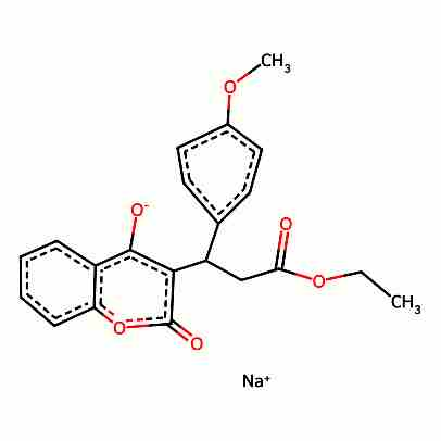 CCOC(=O)CC(c1ccc(OC)cc1)c1c([O-])c2ccccc2oc1=O.[Na+]